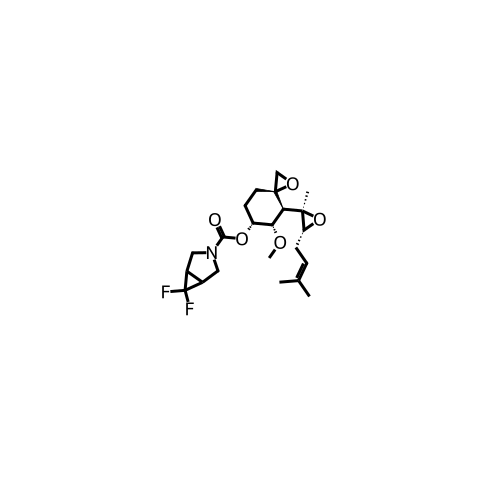 CO[C@@H]1[C@H](OC(=O)N2CC3C(C2)C3(F)F)CC[C@]2(CO2)[C@H]1[C@@]1(C)O[C@@H]1CC=C(C)C